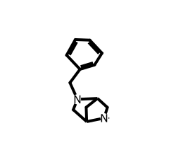 c1ccc(CN2CC3CC2C[N]3)cc1